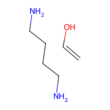 C=CO.NCCCCN